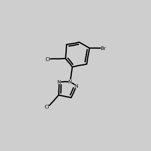 Clc1cnn(-c2cc(Br)ccc2Cl)n1